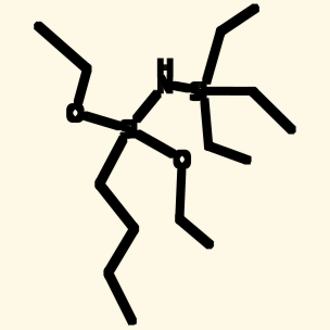 CCCC[Si](N[Si](CC)(CC)CC)(OCC)OCC